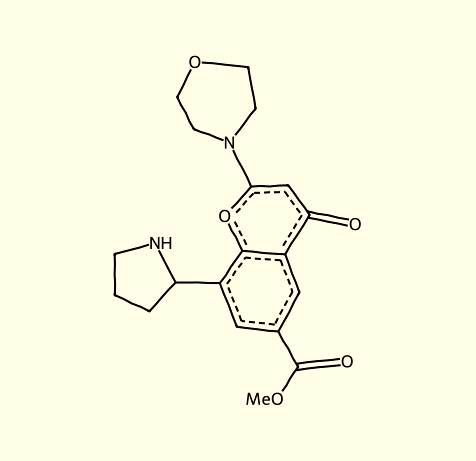 COC(=O)c1cc(C2CCCN2)c2oc(N3CCOCC3)cc(=O)c2c1